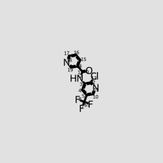 O=C(Nc1cc(C(F)(F)F)cnc1Cl)c1cccnc1